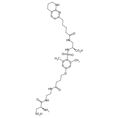 Cc1cc(OCCCC(=O)NCCNC(=O)[C@@H](N)CS(=O)(=O)O)cc(C)c1S(=O)(=O)N[C@@H](CNC(=O)CCCCc1ccc2c(n1)NCCC2)C(=O)O